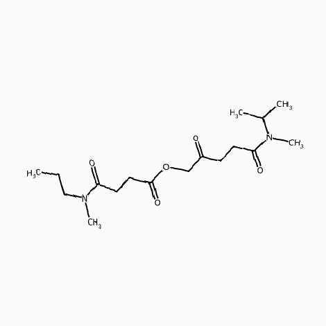 CCCN(C)C(=O)CCC(=O)OCC(=O)CCC(=O)N(C)C(C)C